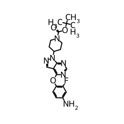 CC(C)(C)OC(=O)N1CCC(n2ncc3c(Oc4ccc(N)cc4F)ncnc32)CC1